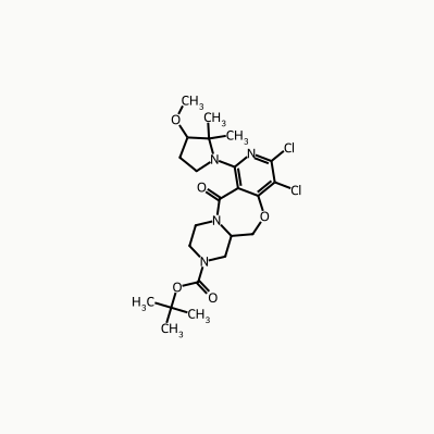 COC1CCN(c2nc(Cl)c(Cl)c3c2C(=O)N2CCN(C(=O)OC(C)(C)C)CC2CO3)C1(C)C